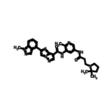 Cc1ncc(NC(=O)CCN2CCCC2(C)C)cc1NC(=O)c1cnn2cc(-c3cccc4c3cnn4C)sc12